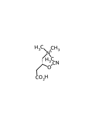 C[N+](C)(C)C[C@@H](CC(=O)O)OC#N